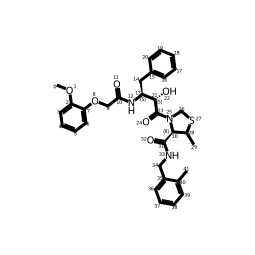 COc1ccccc1OCC(=O)N[C@@H](Cc1ccccc1)[C@H](O)C(=O)N1CSC(C)[C@H]1C(=O)NCc1ccccc1C